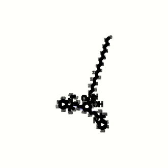 CCCCCCCCCCCCCCCCCCNC(=O)C1(C(=O)O)CC(/C=C/C2=Nc3ccccc3C2(C)C)=CC(=C/C=C2/N(CC)c3ccccc3C2(C)C)/C1